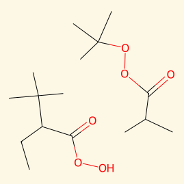 CC(C)C(=O)OOC(C)(C)C.CCC(C(=O)OO)C(C)(C)C